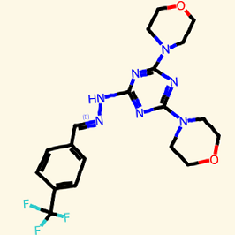 FC(F)(F)c1ccc(/C=N/Nc2nc(N3CCOCC3)nc(N3CCOCC3)n2)cc1